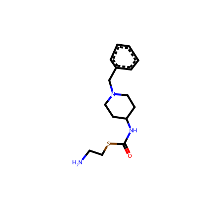 NCCSC(=O)NC1CCN(Cc2ccccc2)CC1